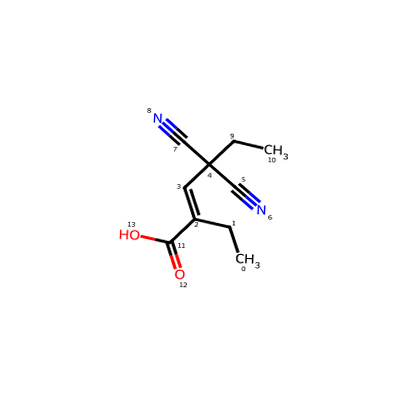 CCC(=CC(C#N)(C#N)CC)C(=O)O